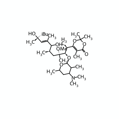 CC[C@@H](C)[C@@](C)(O)/C=C(\C)C(O)[C@H](C)C[C@@](C)(OC)[C@H](O[C@@H]1OC(C)CC(N(C)C)C1C)[C@@H](C)C1=C(C)C(=O)OC(C)(C)O1